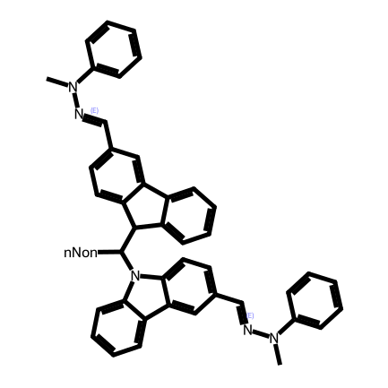 CCCCCCCCCC(C1c2ccccc2-c2cc(/C=N/N(C)c3ccccc3)ccc21)n1c2ccccc2c2cc(/C=N/N(C)c3ccccc3)ccc21